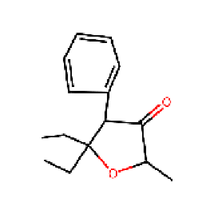 CCC1(CC)OC(C)C(=O)C1c1ccccc1